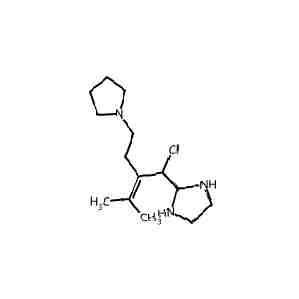 CC(C)=C(CCN1CCCC1)C(Cl)C1NCCN1